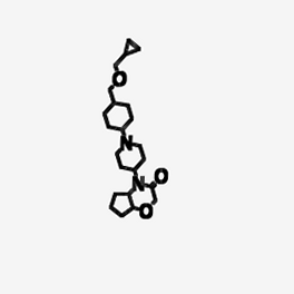 O=C1COC2CCCC2N1C1CCN(C2CCC(COCC3CC3)CC2)CC1